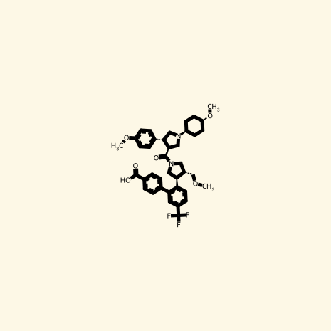 COC[C@H]1CN(C(=O)[C@@H]2CN([C@H]3CC[C@H](OC)CC3)C[C@H]2c2ccc(OC)cc2)C[C@@H]1c1ccc(C(F)(F)F)cc1-c1ccc(C(=O)O)cc1